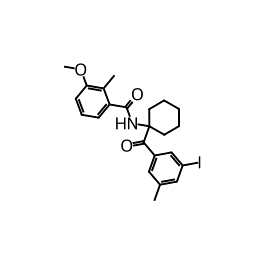 COc1cccc(C(=O)NC2(C(=O)c3cc(C)cc(I)c3)CCCCC2)c1C